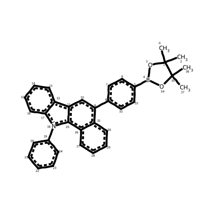 CC1(C)OB(c2ccc(-c3cc4c5ccccc5n(-c5ccccc5)c4c4ccccc34)cc2)OC1(C)C